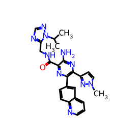 CC(C)n1ncnc1CNC(=O)c1nc(-c2ccc3ncccc3c2)c(-c2ccn(C)n2)nc1N